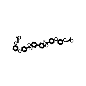 c1cc(OCC2CO2)cc(Oc2ccc(-c3nc4cc(-c5ccc6oc(-c7ccc(Oc8cccc(OCC9CO9)c8)cc7)nc6c5)ccc4o3)cc2)c1